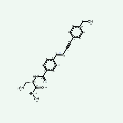 NC[C@H](NC(=O)c1ccc(/C=C/C#Cc2ccc(CO)cc2)cc1)C(=O)NO